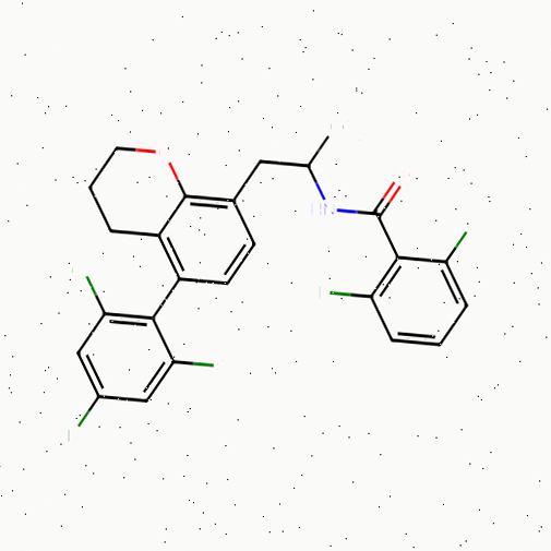 O=C(NC(Cc1ccc(-c2c(Cl)cc(F)cc2Cl)c2c1OCCC2)C(=O)O)c1c(F)cccc1F